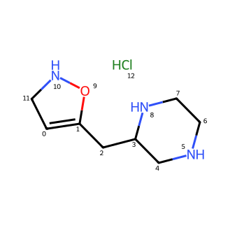 C1=C(CC2CNCCN2)ONC1.Cl